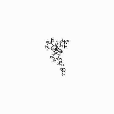 CNCc1cc(-c2ccccc2F)n(S(=O)(=O)c2cccc(OCCCOC)c2)c1